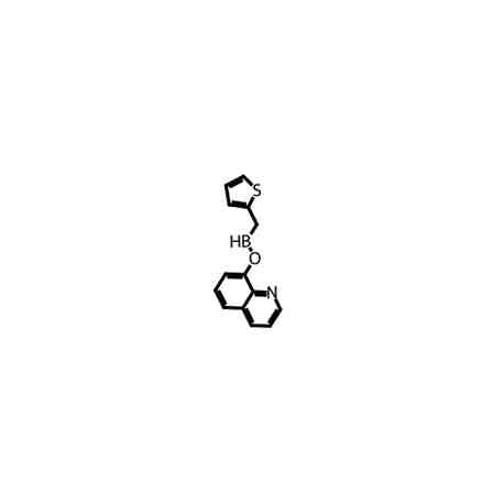 B(Cc1cccs1)Oc1cccc2cccnc12